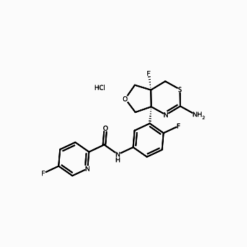 Cl.NC1=N[C@@]2(c3cc(NC(=O)c4ccc(F)cn4)ccc3F)COC[C@@]2(F)CS1